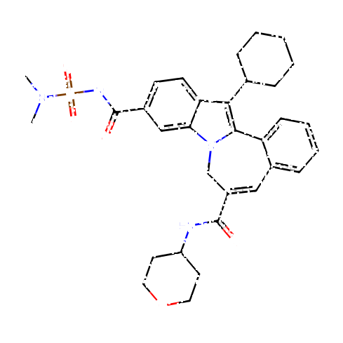 CN(C)S(=O)(=O)NC(=O)c1ccc2c(C3CCCCC3)c3n(c2c1)CC(C(=O)NC1CCOCC1)=Cc1ccccc1-3